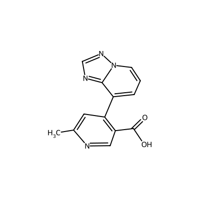 Cc1cc(-c2cccn3ncnc23)c(C(=O)O)cn1